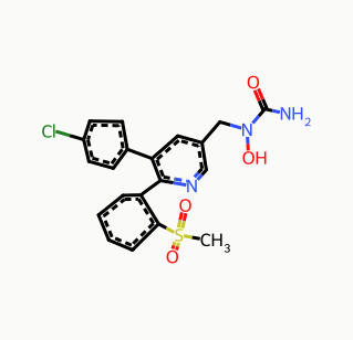 CS(=O)(=O)c1ccccc1-c1ncc(CN(O)C(N)=O)cc1-c1ccc(Cl)cc1